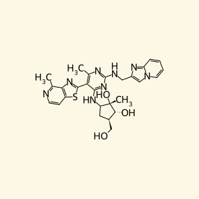 Cc1nc(NCc2cn3ccccc3n2)nc(NC2C[C@H](CO)[C@@H](O)[C@@]2(C)O)c1-c1nc2c(C)nccc2s1